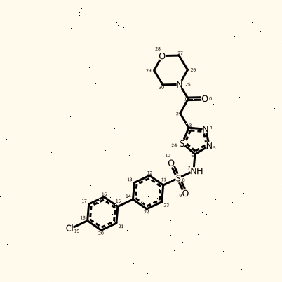 O=C(Cc1nnc(NS(=O)(=O)c2ccc(-c3ccc(Cl)cc3)cc2)s1)N1CCOCC1